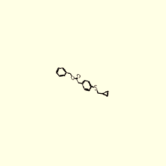 O=C(Cc1ccc(SCC2CC2)cc1)OCc1ccccc1